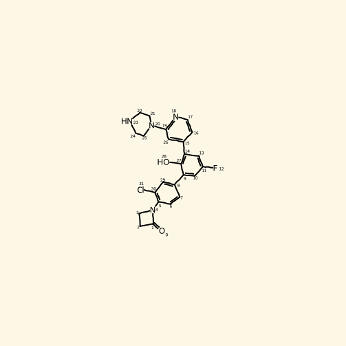 O=C1CCN1c1ccc(-c2cc(F)cc(-c3ccnc(N4CCNCC4)c3)c2O)cc1Cl